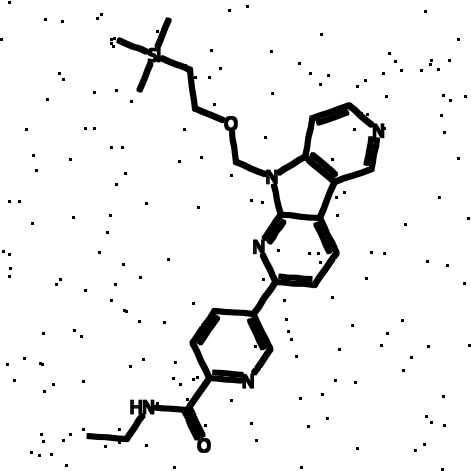 CCNC(=O)c1ccc(-c2ccc3c4cnccc4n(COCC[Si](C)(C)C)c3n2)cn1